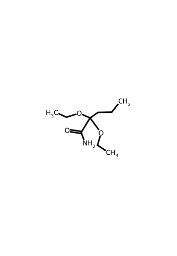 CCCC(OCC)(OCC)C(N)=O